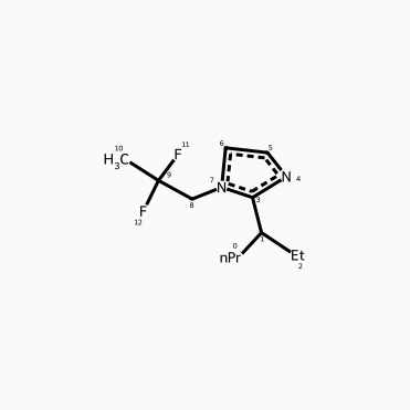 CCCC(CC)c1nccn1CC(C)(F)F